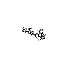 CCn1c(-c2noc(=O)[nH]2)nc2c1CN([C@H]1CO[C@H](c3cc(F)ccc3F)[C@@H](N(C(=O)O)C(C)(C)C)C1)C2